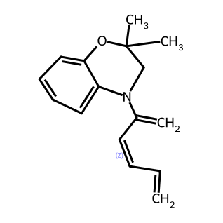 C=C/C=C\C(=C)N1CC(C)(C)Oc2ccccc21